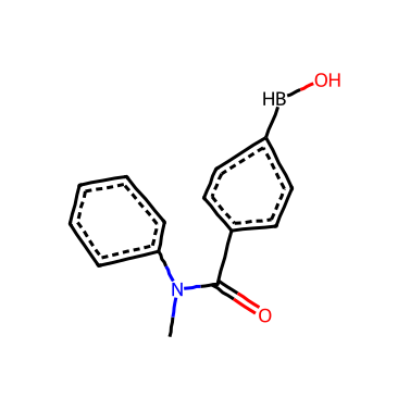 CN(C(=O)c1ccc(BO)cc1)c1ccccc1